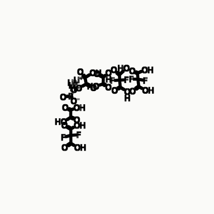 O=C(O)C(=O)O.O=C(O)C(=O)O.O=C(O)C(=O)O.O=C(O)C(F)(F)C(=O)O.O=C(O)C(F)(F)C(=O)O.O=C(O)C(F)(F)C(=O)O.[Li+].[Li+].[Li+].[O-]B([O-])[O-]